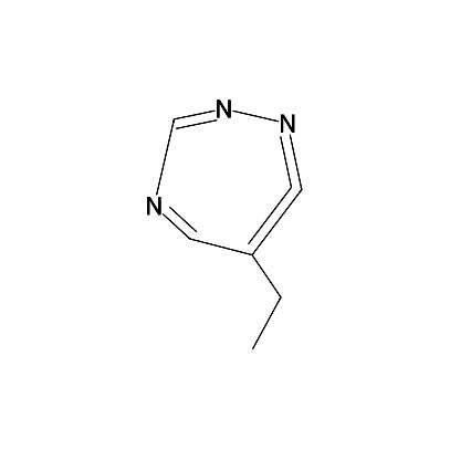 CCC1=C=NN=CN=C1